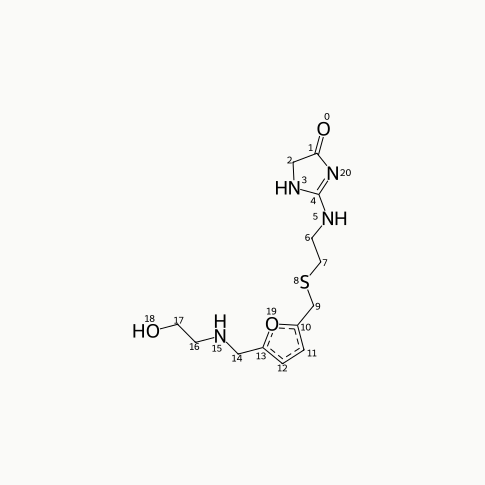 O=C1CNC(NCCSCc2ccc(CNCCO)o2)=N1